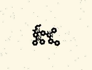 C=C/C=C\c1nc(-c2ccc(-c3cc(-c4cccc(-c5ccccc5)c4)nc(-c4ccccc4)n3)cc2)c2c(ccc3c2nc(-c2ccccc2)n3-c2ccccc2)c1C